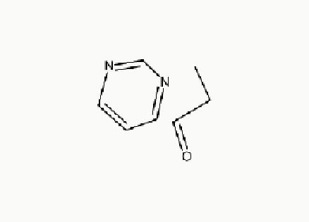 CCC=O.c1cncnc1